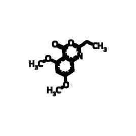 CCc1nc2cc(OC)cc(OC)c2c(=O)o1